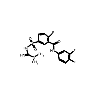 CN(C)C(=N)NS(=O)(=O)c1ccc(F)c(C(=O)Nc2ccc(F)c(F)c2)c1